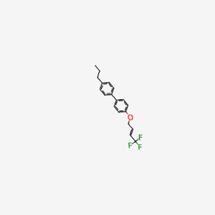 CCCc1ccc(-c2ccc(OCC=CC(F)(F)F)cc2)cc1